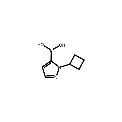 OB(O)c1ccnn1C1CCC1